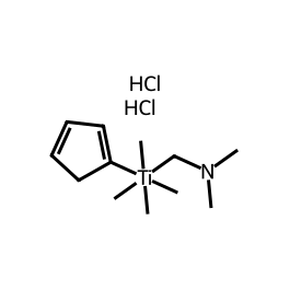 CN(C)[CH2][Ti]([CH3])([CH3])([CH3])([CH3])[C]1=CC=CC1.Cl.Cl